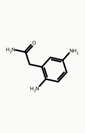 NC(=O)Cc1cc(N)ccc1N